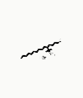 Br.CCCCCCCCCCC(CCCCCl)C(C)(C)N